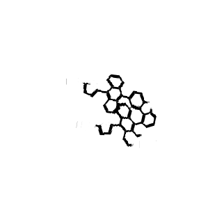 C=Cc1c(/C=C\C)c(-c2ccc(C)o2)c2ccccc2c1-c1cccc2sc3ccc(-c4c5ccccc5c(-c5ccc(C)o5)c5ccccc45)cc3c12